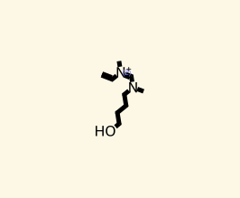 C=C/[N+](C)=C\N(C)CCCCO